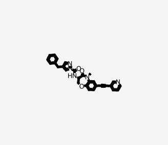 CN1C(=O)[C@@H](NC(=O)n2cc(Cc3ccccc3)cn2)COc2ccc(C#Cc3cccnc3)cc21